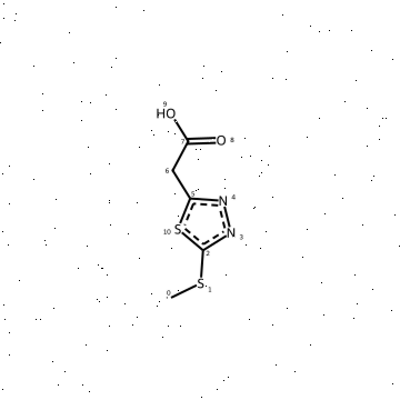 [CH2]Sc1nnc(CC(=O)O)s1